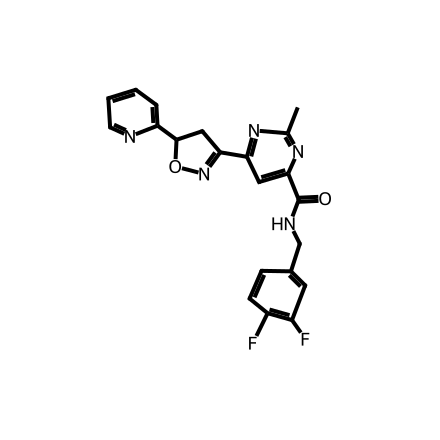 Cc1nc(C(=O)NCc2ccc(F)c(F)c2)cc(C2=NOC(c3ccccn3)C2)n1